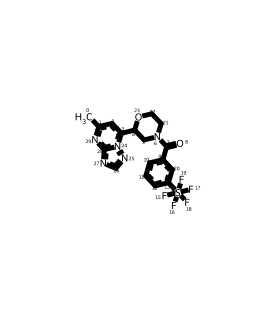 Cc1cc(C2CN(C(=O)c3cccc(S(F)(F)(F)(F)F)c3)CCO2)n2ncnc2n1